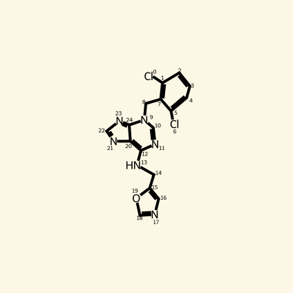 Clc1cccc(Cl)c1Cn1cnc(NCc2cnco2)c2ncnc1-2